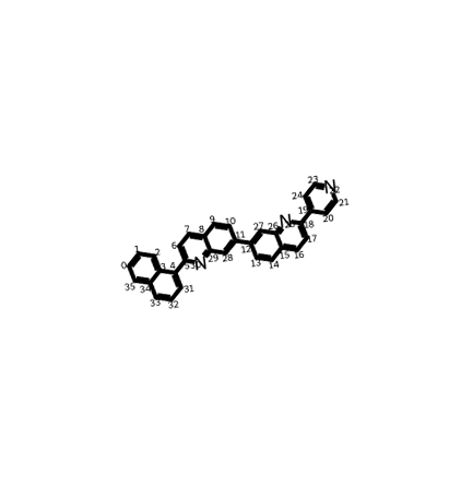 c1ccc2c(-c3ccc4ccc(-c5ccc6ccc(-c7ccncc7)nc6c5)cc4n3)cccc2c1